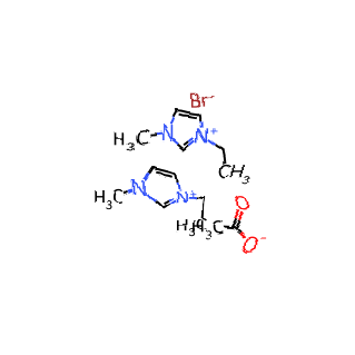 CC(=O)[O-].CC[n+]1ccn(C)c1.CC[n+]1ccn(C)c1.[Br-]